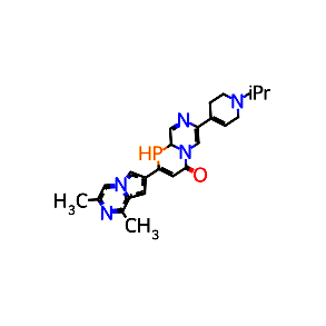 Cc1cn2cc(C3=CC(=O)N4C=C(C5=CCN(C(C)C)CC5)N=CC4P3)cc2c(C)n1